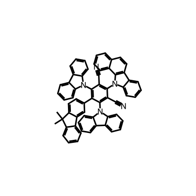 CC1(C)c2ccccc2-c2cc(-c3c(-n4c5ccccc5c5ccccc54)c(C#N)c(-n4c5ccccc5c5ccc6ccccc6c54)c(C#N)c3-n3c4ccccc4c4ccccc43)ccc21